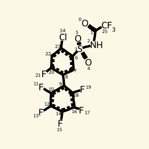 O=C(NS(=O)(=O)c1cc(-c2c(F)c(F)c(F)c(F)c2F)c(F)cc1Cl)C(F)(F)F